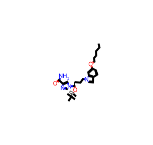 CCCCCCOc1ccc2ccn(CCC[C@@H](O[Si](C)(C)C(C)(C)C)n3cnc(C(N)=O)c3)c2c1